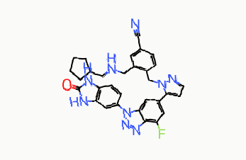 N#Cc1ccc(Cn2nccc2-c2cc(F)c3nnn(-c4ccc5[nH]c(=O)[nH]c5c4)c3c2)c(CNCC2CCCC2)c1